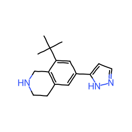 CC(C)(C)c1cc(-c2ccn[nH]2)cc2c1CNCC2